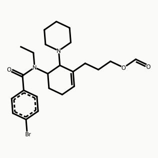 CCN(C(=O)c1ccc(Br)cc1)C1CCC=C(CCCOC=O)C1N1CCCCC1